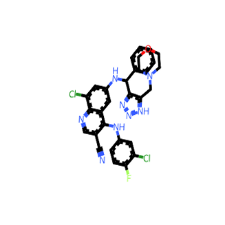 N#Cc1cnc2c(Cl)cc(NC(c3ccccc3)c3nn[nH]c3CN3CCOCC3)cc2c1Nc1ccc(F)c(Cl)c1